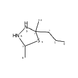 CCCC1(C)NNC(C)S1